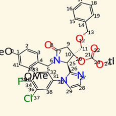 COc1ccc(CN2C(=O)C[C@@](COCc3ccccc3)(OC(=O)OC(C)(C)C)[C@H]2c2nccn2-c2ccc(F)c(Cl)c2)c(OC)c1